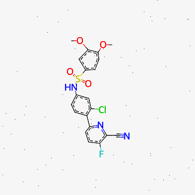 COc1ccc(S(=O)(=O)Nc2ccc(-c3ccc(F)c(C#N)n3)c(Cl)c2)cc1OC